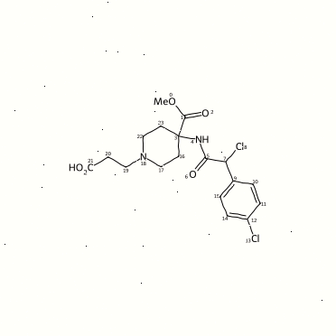 COC(=O)C1(NC(=O)C(Cl)c2ccc(Cl)cc2)CCN(CCC(=O)O)CC1